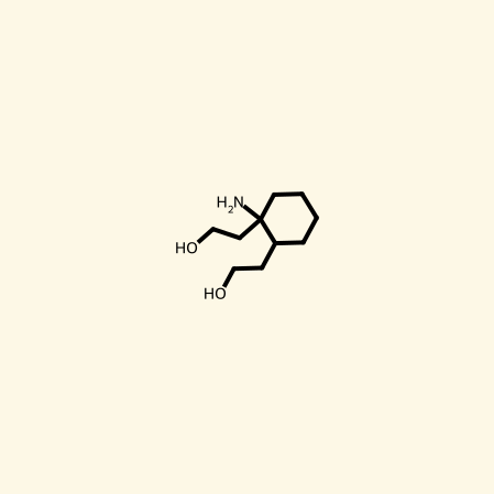 NC1(CCO)CCCCC1CCO